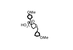 COc1ccc(S(=O)(=O)C2(C(=O)O)CCN(Cc3cccc(OC)c3)CC2)cc1